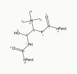 CCCCCC(=O)[P-]C(C(O)PC(=O)CCCCC)[N+](C)(C)C